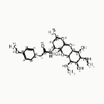 CNC1C(O)C(NC)[C@H](O)C2OC3O[C@H](C)CC(NC(=O)C[C@@H]4C=CC(OC)=CC4)C3(O)OC12